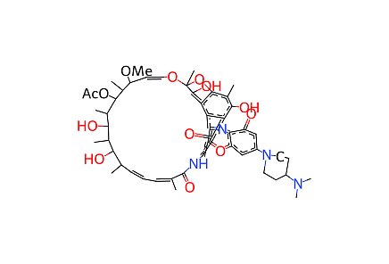 COC1C=COC2(C)Oc3c(C)c(O)c4c(=O)c(c5oc6cc(N7CCC(N(C)C)CC7)cc(=O)c6nc5c4c3=C2O)NC(=O)C(C)=CC=CC(C)C(O)C(C)C(O)C(C)C(OC(C)=O)C1C